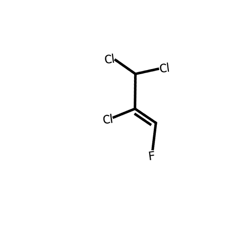 FC=C(Cl)C(Cl)Cl